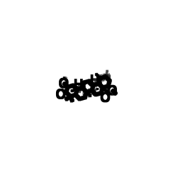 COC(=O)[C@]12CC[C@@H](C)[C@H](C)[C@H]1C1=CC[C@@H]3[C@@]4(C)CC(OC)C(=O)C(C)(C)C4CC[C@@]3(C)[C@]1(C)CC2